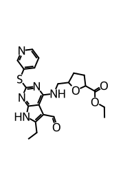 CCOC(=O)C1CCC(CNc2nc(Sc3cccnc3)nc3[nH]c(CC)c(C=O)c23)O1